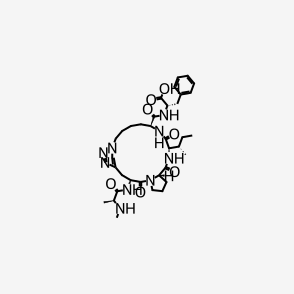 CC[C@H](C)[C@@H]1NC(=O)[C@@H]2CCCN2C(=O)[C@@H](NC(=O)[C@H](C)NC)Cc2cn(nn2)CCCC[C@@H](C(=O)N[C@@H](Cc2ccccc2)C(=O)O)NC1=O